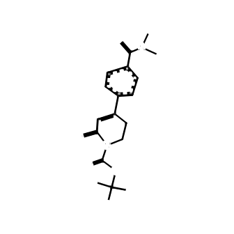 CN(C)C(=O)c1ccc(C2=CC(=O)N(C(=O)OC(C)(C)C)CC2)cc1